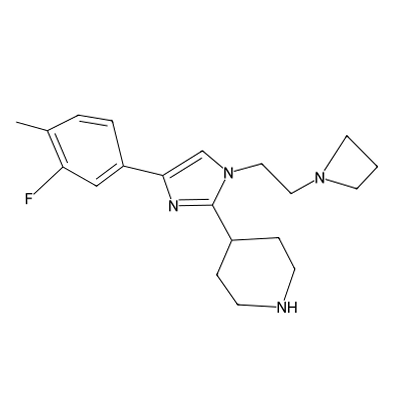 Cc1ccc(-c2cn(CCN3CCC3)c(C3CCNCC3)n2)cc1F